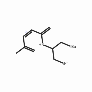 C=C(C)/C=C\C(=C)NC(CC(C)C)CC(C)CC